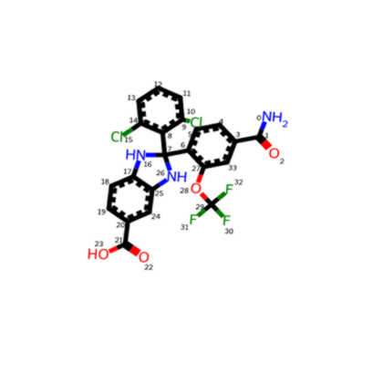 NC(=O)c1ccc(C2(c3c(Cl)cccc3Cl)Nc3ccc(C(=O)O)cc3N2)c(OC(F)(F)F)c1